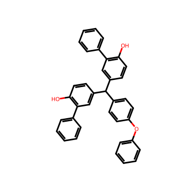 Oc1ccc(C(c2ccc(Oc3ccccc3)cc2)c2ccc(O)c(-c3ccccc3)c2)cc1-c1ccccc1